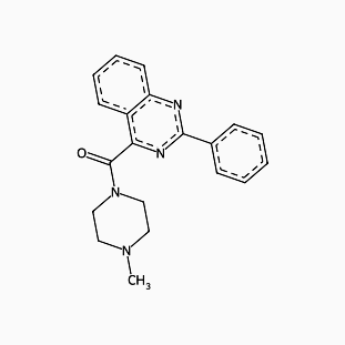 CN1CCN(C(=O)c2nc(-c3ccccc3)nc3ccccc23)CC1